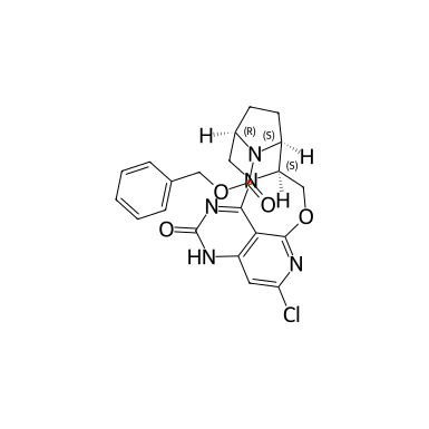 O=C(OCc1ccccc1)N1[C@@H]2CC[C@H]1[C@H]1COc3nc(Cl)cc4[nH]c(=O)nc(c34)N1C2